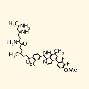 C=C1C=C2C(C(=N)c3ccc(C(=O)CCC(C)CCC(=O)[C@@H](N)CCC(=N)CC(C)N)c(CC)c3)=NC=CC2C(c2ccc(OC)c(F)c2F)=C1